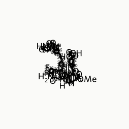 COC(=O)N1CC[C@H]2CC[C@@H](C(=O)N[C@@H](CCC(N)=O)C(=O)N[C@@H](Cc3ccc(F)c(F)c3)C(=O)N3CCC(CCCc4ccc5c(c4)n(C)c(=O)n5C4CCC(=O)NC4=O)CC3)N2C(=O)[C@@H](NC(=O)c2cc3cc(C(=O)P(=O)(O)O)ccc3[nH]2)C1